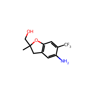 CC1(CO)Cc2cc(N)c(C(F)(F)F)cc2O1